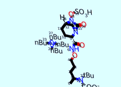 CC(CCCONC(=O)[C@@H]1CC[C@@H]2CN1C(=O)N2OS(=O)(=O)O)N(C(=O)[O-])C(C)(C)C.CCCC[N+](CCCC)(CCCC)CCCC